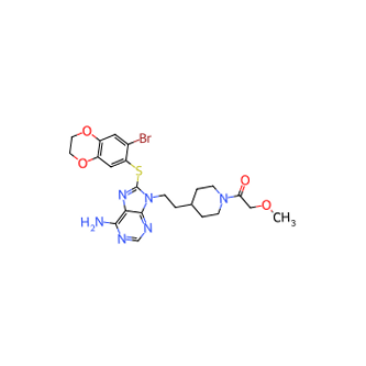 COCC(=O)N1CCC(CCn2c(Sc3cc4c(cc3Br)OCCO4)nc3c(N)ncnc32)CC1